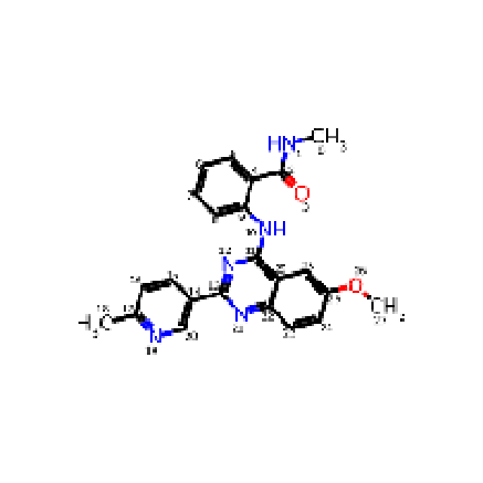 CNC(=O)c1ccccc1Nc1nc(-c2ccc(C)nc2)nc2ccc(OC)cc12